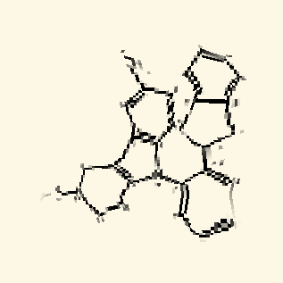 Cc1ccc2c(c1)c1c(n2-c2ccccc2C2Cc3ccccc3S2)CCN(C)C1